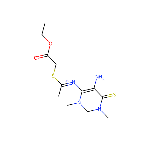 CCOC(=O)CS/C(C)=N/C1=C(N)C(=S)N(C)CN1C